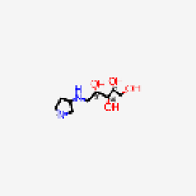 OC[C@@H](O)[C@@H](O)[C@@H](O)CNC1CC[N]C1